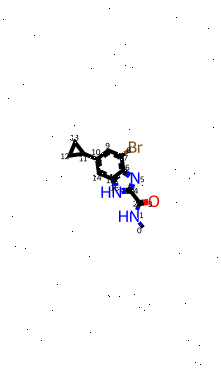 CNC(=O)c1nc2c(Br)cc(C3CC3)cc2[nH]1